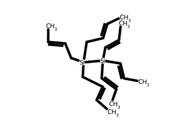 CC=CC[Si](CC=CC)(CC=CC)[Si](C=CC)(C=CC)C=CC